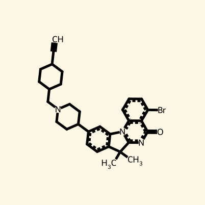 C#CC1CCC(CN2CCC(c3ccc4c(c3)-n3c(nc(=O)c5c(Br)cccc53)C4(C)C)CC2)CC1